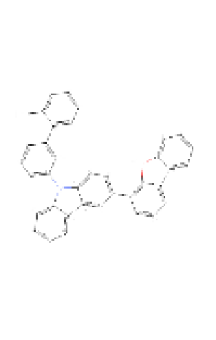 Cc1ccccc1-c1cccc(-n2c3ccccc3c3cc(-c4cccc5c4oc4ccccc45)ccc32)c1